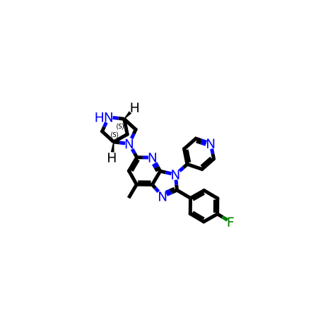 Cc1cc(N2C[C@@H]3C[C@H]2CN3)nc2c1nc(-c1ccc(F)cc1)n2-c1ccncc1